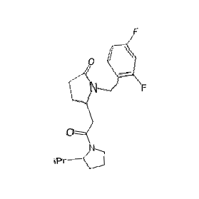 CC(C)C1CCCN1C(=O)CC1CCC(=O)N1Cc1ccc(F)cc1F